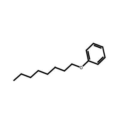 CCCCC[CH]CCOc1ccccc1